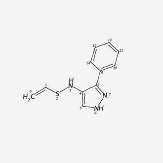 C=CSNc1c[nH]nc1-c1ccccc1